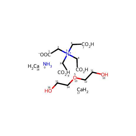 N.O=C([O-])C[N+](CC(=O)O)(CC(=O)O)CC(=O)O.OCCOCCO.[CaH2].[CaH2]